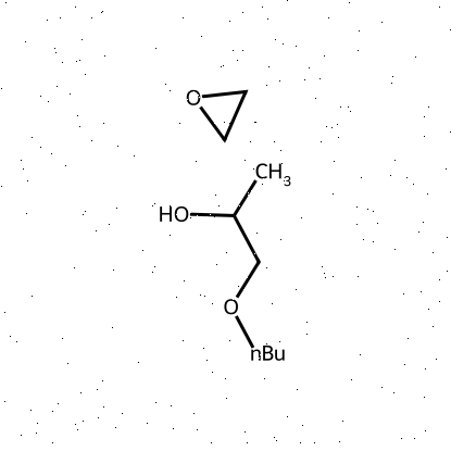 C1CO1.CCCCOCC(C)O